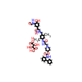 Cc1cc(NC(=O)CCN2CCC(OC(=O)Nc3ccccc3-c3ccccc3)CC2)c(C)cc1CNC[C@H](O)c1ccc(O)c(NC=O)c1.O=C(O)C(O)C(O)C(=O)O